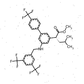 COC(=O)[C@H](CC(C)C)c1cc(NCc2cc(C(F)(F)F)cc(C(F)(F)F)c2)cc(-c2ccc(C(F)(F)F)cc2)c1